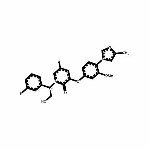 COc1cc(Oc2cc(Cl)cn([C@@H](CO)c3cccc(F)c3)c2=O)ccc1-n1cnc(C)c1